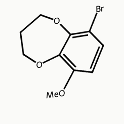 COc1ccc(Br)c2c1OCCCO2